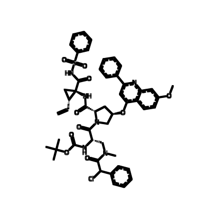 C=C[C@@H]1C[C@]1(NC(=O)[C@@H]1C[C@@H](Oc2cc(-c3ccccc3)nc3cc(OC)ccc23)CN1C(=O)[C@H](CN(C)C(=O)C(Cl)c1ccccc1)NC(=O)OC(C)(C)C)C(=O)NS(=O)(=O)c1ccccc1